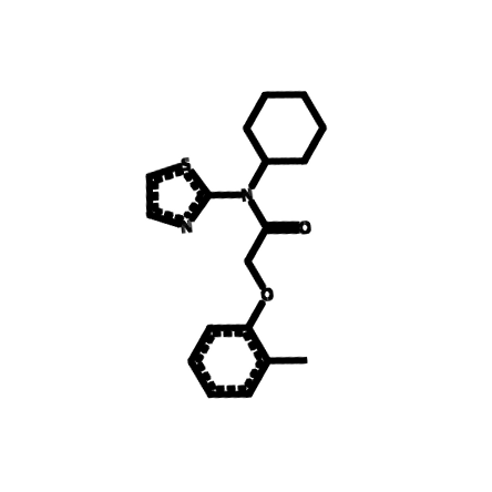 Cc1ccccc1OCC(=O)N(c1nccs1)C1CCCCC1